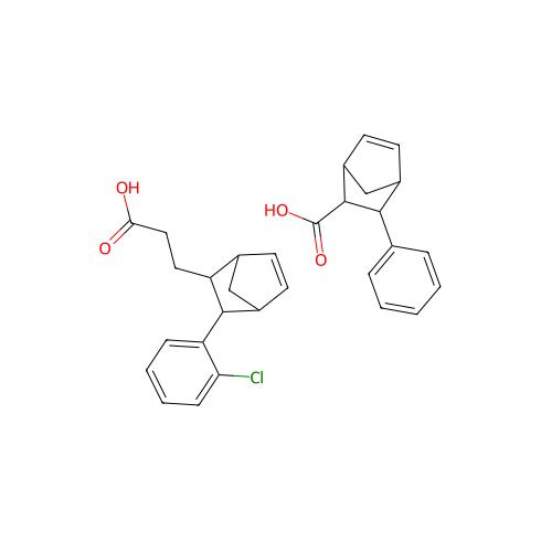 O=C(O)C1C2C=CC(C2)C1c1ccccc1.O=C(O)CCC1C2C=CC(C2)C1c1ccccc1Cl